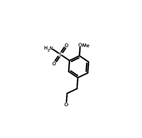 COc1ccc(CC[O])cc1S(N)(=O)=O